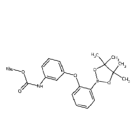 CC(C)(C)OC(=O)Nc1cccc(Oc2ccccc2B2OC(C)(C)C(C)(C)O2)c1